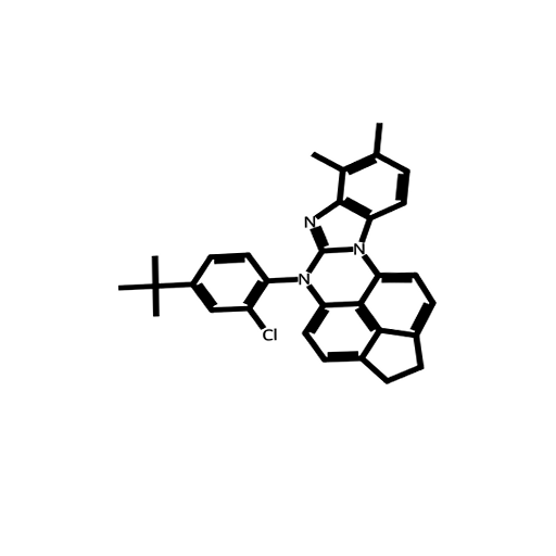 Cc1ccc2c(nc3n(-c4ccc(C(C)(C)C)cc4Cl)c4ccc5c6c(ccc(c64)n23)CC5)c1C